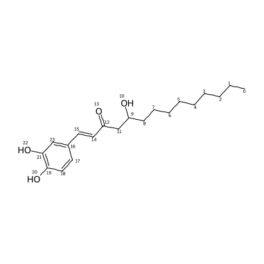 CCCCCCCCCC(O)CC(=O)C=Cc1ccc(O)c(O)c1